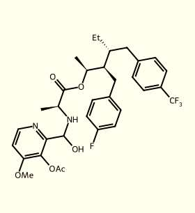 CC[C@H](Cc1ccc(C(F)(F)F)cc1)[C@@H](Cc1ccc(F)cc1)[C@H](C)OC(=O)[C@H](C)NC(O)c1nccc(OC)c1OC(C)=O